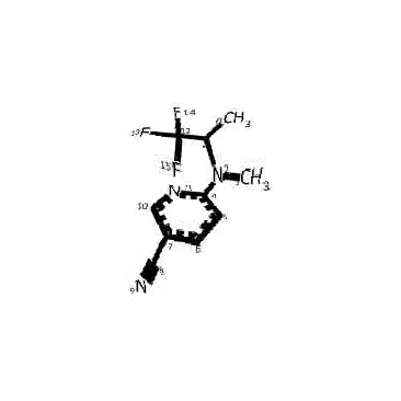 CC(N(C)c1ccc(C#N)cn1)C(F)(F)F